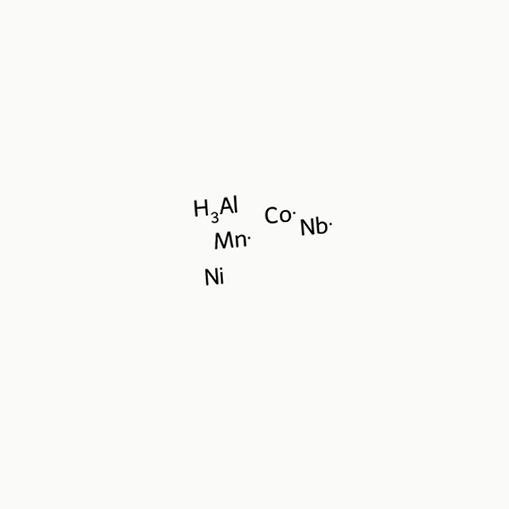 [AlH3].[Co].[Mn].[Nb].[Ni]